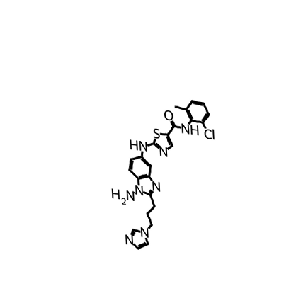 Cc1cccc(Cl)c1NC(=O)c1cnc(Nc2ccc3c(c2)nc(CCCn2ccnc2)n3N)s1